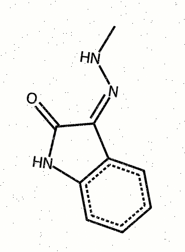 CN/N=C1\C(=O)Nc2ccccc21